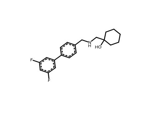 OC1(CNCc2ccc(-c3cc(F)cc(F)c3)cc2)CCCCC1